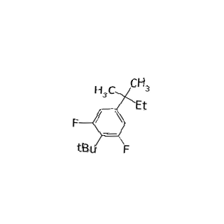 CCC(C)(C)c1cc(F)c(C(C)(C)C)c(F)c1